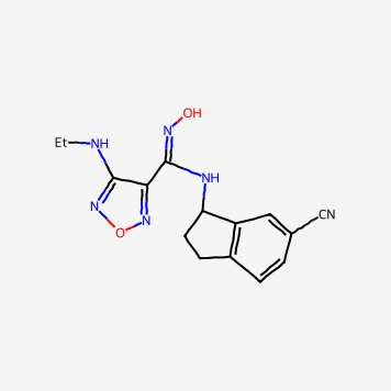 CCNc1nonc1/C(=N/O)NC1CCc2ccc(C#N)cc21